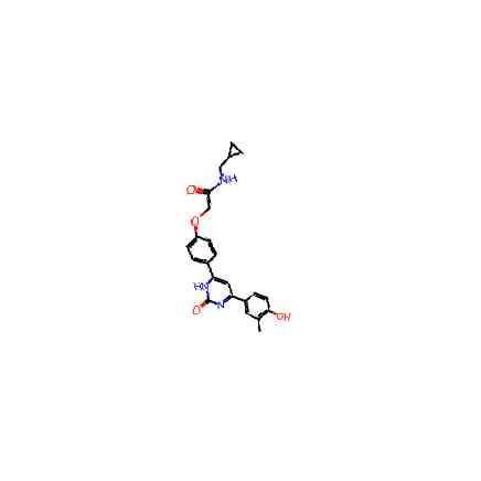 Cc1cc(-c2cc(-c3ccc(OCC(=O)NCC4CC4)cc3)[nH]c(=O)n2)ccc1O